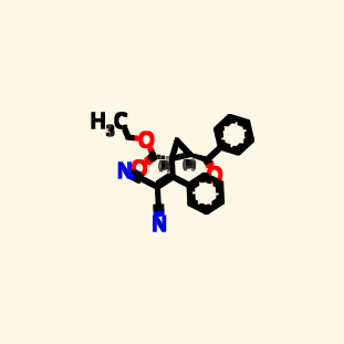 CCOC(=O)[C@]1(C(=C(C#N)C#N)c2ccccc2)C[C@H]1C(=O)c1ccccc1